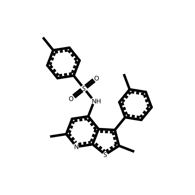 Cc1ccc(S(=O)(=O)Nc2cc(C)nc3sc(C)c(-c4cccc(C)c4)c23)cc1